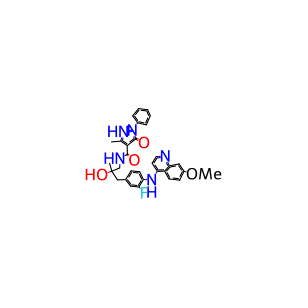 COc1ccc2c(Nc3ccc(CC(C)(O)CNC(=O)c4c(C)[nH]n(-c5ccccc5)c4=O)cc3F)ccnc2c1